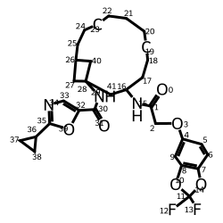 O=C(COc1ccc2c(c1)OC(F)(F)O2)NC1CCCCCCCCCC2CC(NC(=O)c3cnc(C4CC4)o3)(C2)C1